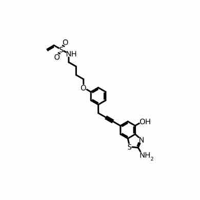 C=CS(=O)(=O)NCCCCOc1cccc(CC#Cc2cc(O)c3nc(N)sc3c2)c1